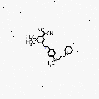 CN(CCCN1CCCCC1)c1ccc(/C=C/C2=CC(=C(C#N)C#N)CC(C)(C)C2)cc1